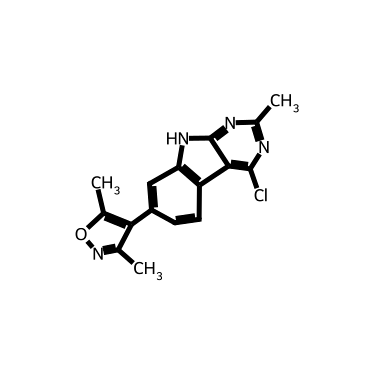 Cc1nc(Cl)c2c(n1)[nH]c1cc(-c3c(C)noc3C)ccc12